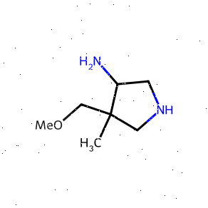 COCC1(C)CNCC1N